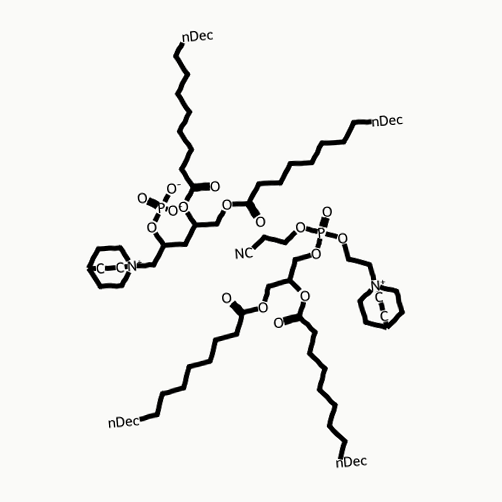 CCCCCCCCCCCCCCCCCC(=O)OCC(CC(C[N+]12CCC(CC1)CC2)OP(=O)([O-])[O-])OC(=O)CCCCCCCCCCCCCCCCC.CCCCCCCCCCCCCCCCCC(=O)OCC(COP(=O)(OCCC#N)OCC[N+]12CCC(CC1)CC2)OC(=O)CCCCCCCCCCCCCCCCC